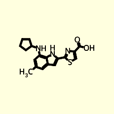 Cc1cc(NC2CCCC2)c2[nH]c(-c3nc(C(=O)O)cs3)cc2c1